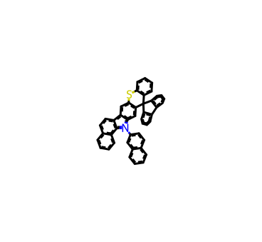 c1ccc2c(c1)Sc1cc3c4ccc5ccccc5c4n(-c4ccc5ccccc5c4)c3cc1C21c2ccccc2-c2ccccc21